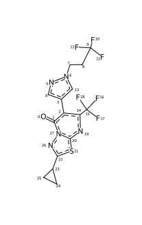 O=c1c(-c2cnn(CCC(F)(F)F)c2)c(C(F)(F)F)nc2sc(C3CC3)nn12